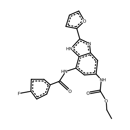 CCOC(=O)Nc1cc(NC(=O)c2ccc(F)cc2)c2[nH]c(-c3ccco3)nc2c1